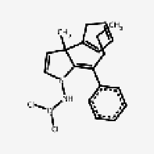 CCCC(=C1N([NH][Cr]([Cl])[Cl])C=CC1(C)C1=CC=CC1)c1ccccc1